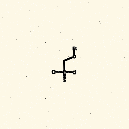 CCOCP(=S)(Cl)Cl